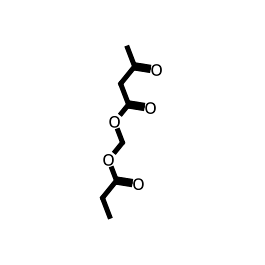 CCC(=O)OCOC(=O)CC(C)=O